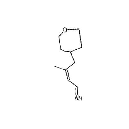 C/C(=C/C=N)CC1CCOCC1